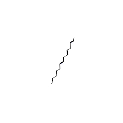 CCCCCCCC/C=C/C/C=C/C/C=C/CCCCCC(=O)O